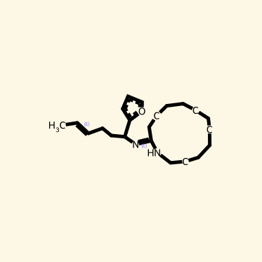 C/C=C/CCC(/N=C1\CCCCCCCCCCCN1)c1ccco1